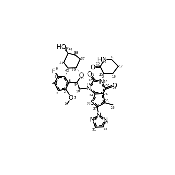 COc1ccc(F)cc1[C@H](Cn1c(=O)n([C@H]2CCCNC2=O)c(=O)c2c(C)c(-n3nccn3)sc21)O[C@H]1CC[C@H](O)CC1